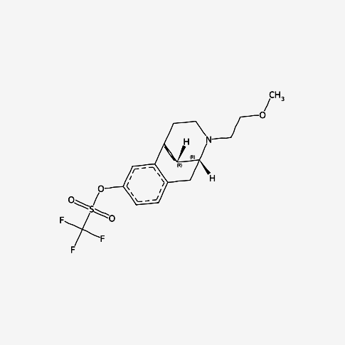 COCCN1CCC23CCCC[C@H]2[C@H]1Cc1ccc(OS(=O)(=O)C(F)(F)F)cc13